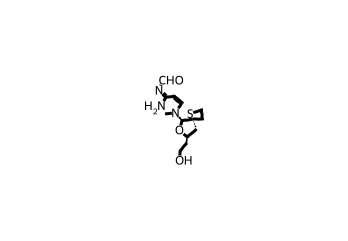 CN(/C=C\C(N)=N/C=O)[C@@H]1O[C@H](CCO)C[C@]12CCS2